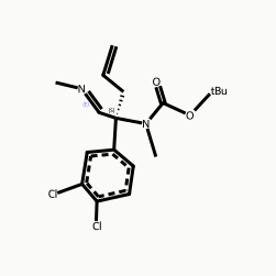 C=CC[C@@](/C=N/C)(c1ccc(Cl)c(Cl)c1)N(C)C(=O)OC(C)(C)C